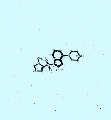 CN1CNC=C1S(=O)(=O)n1ccc2c(N3CCNCC3)cccc21.Cl